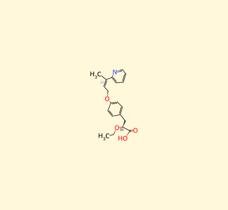 CCO[C@@H](Cc1ccc(OC/C=C(/C)c2ccccn2)cc1)C(=O)O